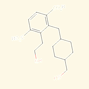 O=C(O)c1ccc(C(=O)O)c(CC2CCC(CO)CC2)c1CCO